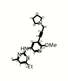 CCc1cc(C)nc(Nc2cnc(OC)c(C#CCN3CCCC3)c2)n1